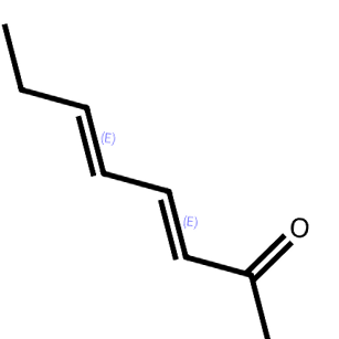 CC/C=C/C=C/C(C)=O